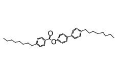 CCCCCCCCc1ccc(C(=O)Oc2ccc(-c3ccc(CCCCCCCC)cc3)cc2)cc1